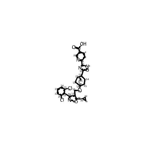 O=C(O)c1ccc(-c2noc(C34CCC(OCc5c(-c6c(Cl)cccc6Cl)noc5C5CC5)(CC3)CC4)n2)nc1